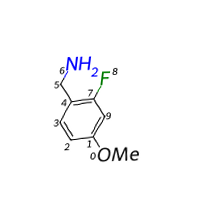 COc1ccc(CN)c(F)c1